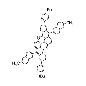 Cc1ccc2cc(-c3c4cc(-c5ccc(C(C)(C)C)cc5)ccc4c4nc5ccc6c(-c7ccc8cc(C)ccc8c7)c7cc(-c8ccc(C(C)(C)C)cc8)ccc7c7nc8ccc3c4c8c5c67)ccc2c1